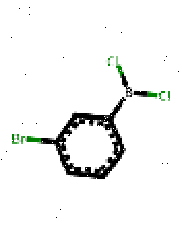 ClB(Cl)c1cccc(Br)c1